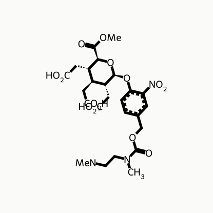 CNCCN(C)C(=O)OCc1ccc(O[C@@H]2O[C@H](C(=O)OC)[C@@H](CC(=O)O)[C@H](CC(=O)O)[C@H]2CC(=O)O)c([N+](=O)[O-])c1